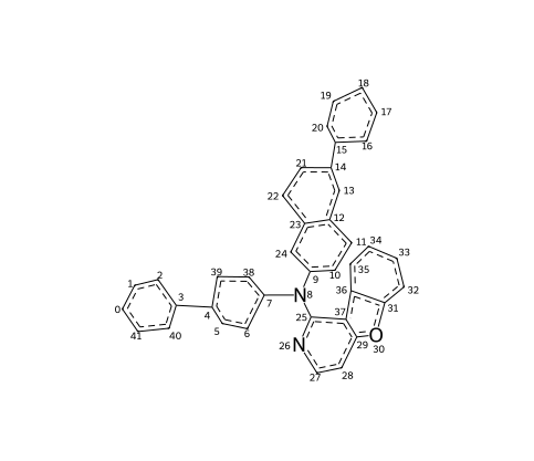 c1ccc(-c2ccc(N(c3ccc4cc(-c5ccccc5)ccc4c3)c3nccc4oc5ccccc5c34)cc2)cc1